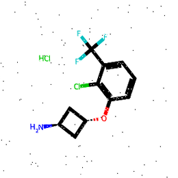 Cl.N[C@H]1C[C@H](Oc2cccc(C(F)(F)F)c2Cl)C1